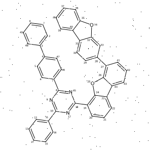 c1ccc(-c2ccc(-c3nc(-c4ccccc4)nc(-c4cccc5c4oc4c(-c6ccc7c(c6)oc6ccccc67)cccc45)n3)cc2)cc1